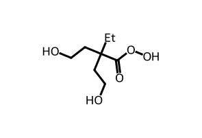 CCC(CCO)(CCO)C(=O)OO